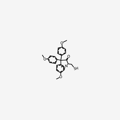 COc1ccc(C(C(=O)[C@@H](N)CS)(c2ccc(OC)cc2)c2ccc(OC)cc2)cc1